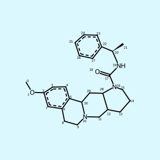 COc1ccc2c(c1)CCN1CC3CCCN(C(=O)N[C@H](C)c4ccccc4)C3CC21